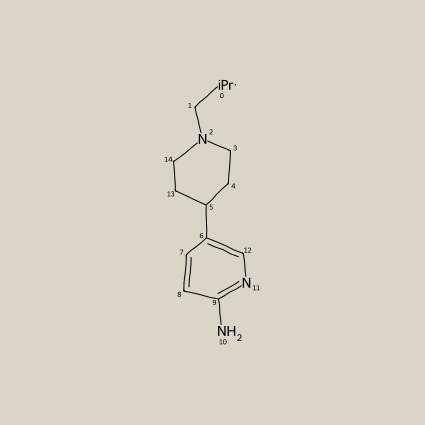 C[C](C)CN1CCC(c2ccc(N)nc2)CC1